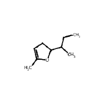 CCC(C)C1CC=C(C)O1